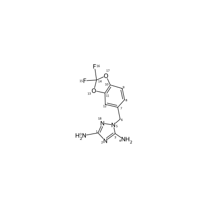 Nc1nc(N)n(Cc2ccc3c(c2)OC(F)(F)O3)n1